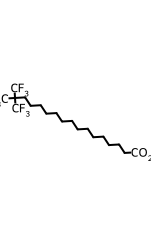 O=C(O)CCCCCCCCCCCCCCC(C(F)(F)F)(C(F)(F)F)C(F)(F)F